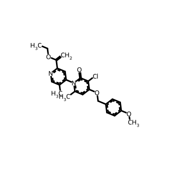 C=C(OCC)c1cc(-n2c(C)cc(OCc3ccc(OC)cc3)c(Cl)c2=O)c(C)cn1